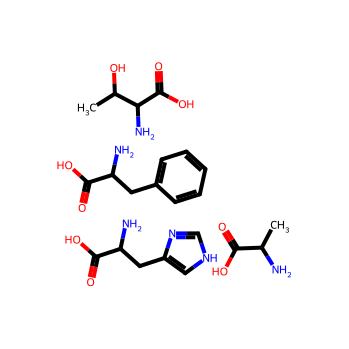 CC(N)C(=O)O.CC(O)C(N)C(=O)O.NC(Cc1c[nH]cn1)C(=O)O.NC(Cc1ccccc1)C(=O)O